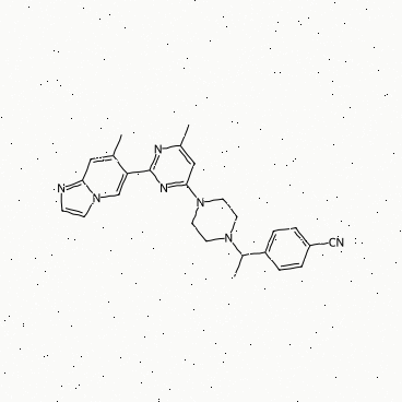 Cc1cc(N2CCN(C(C)c3ccc(C#N)cc3)CC2)nc(-c2cn3ccnc3cc2C)n1